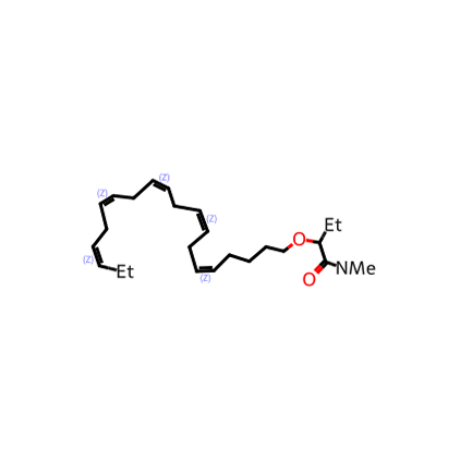 CC/C=C\C/C=C\C/C=C\C/C=C\C/C=C\CCCCOC(CC)C(=O)NC